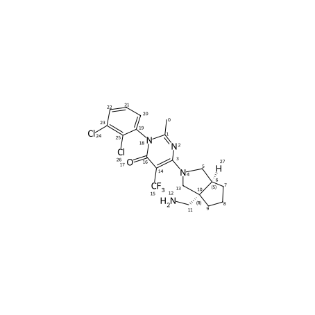 Cc1nc(N2C[C@H]3CCC[C@@]3(CN)C2)c(C(F)(F)F)c(=O)n1-c1cccc(Cl)c1Cl